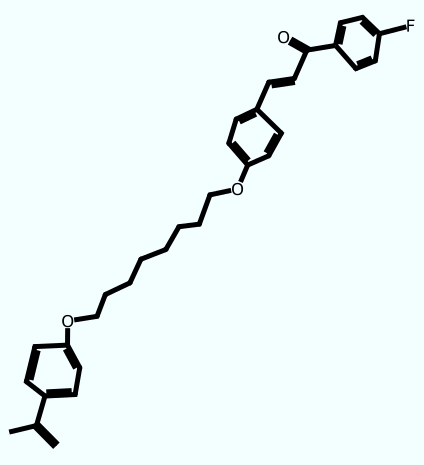 C=C(C)c1ccc(OCCCCCCCCOc2ccc(C=CC(=O)c3ccc(F)cc3)cc2)cc1